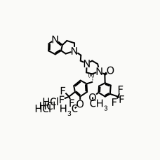 COc1cc(C(=O)N2CCN(CCN3CCc4ncccc4C3)C[C@H]2Cc2ccc(C(F)(F)F)c(OC)c2)cc(C(F)(F)F)c1.Cl.Cl.Cl